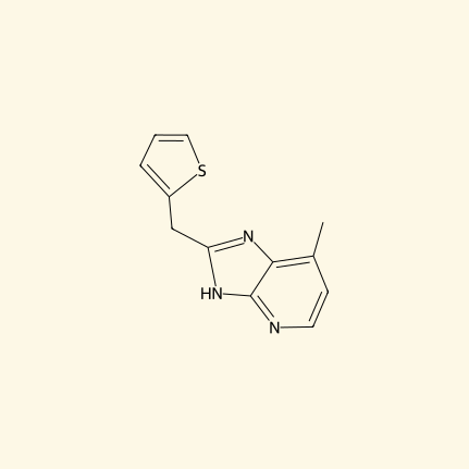 Cc1ccnc2[nH]c(Cc3cccs3)nc12